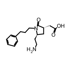 NCC[C@@H]1C[C@@H](CC(=O)O)C(=O)N1CCCc1ccccc1